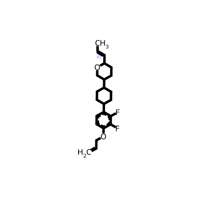 C=CCOc1ccc(C2CCC(C3CCC(/C=C/C)OC3)CC2)c(F)c1F